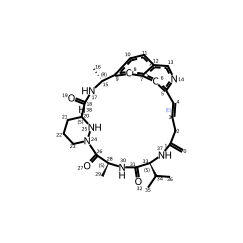 C=C1C/C=C/c2cc3cc(ccc3cn2)[C@@H](C)NC(=O)[C@@H]2CCCN(N2)C(=O)[C@H](C)NC(=O)[C@H](C(C)C)N1